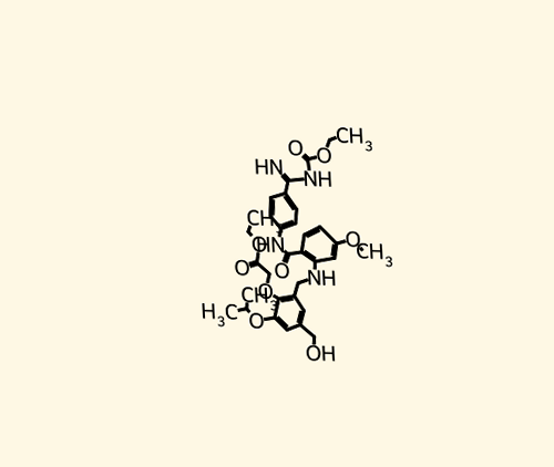 CCOC(=O)COc1c(CNc2cc(OC)ccc2C(=O)Nc2ccc(C(=N)NC(=O)OCC)cc2)cc(CO)cc1OC(C)C